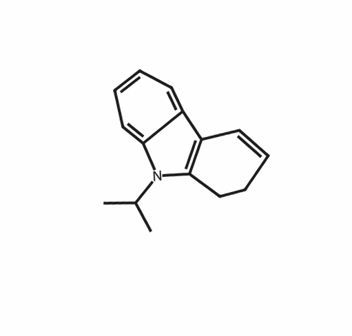 CC(C)n1c2c(c3ccccc31)C=CCC2